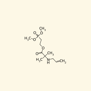 C=CCNC(C)(C)C(=O)OCCP(=O)(OC)OC